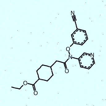 CCOC(=O)C1CCC(CC(=O)N(Oc2cccc(C#N)c2)c2cccnc2)CC1